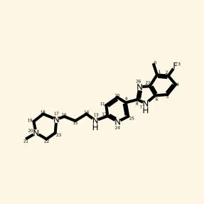 Cc1c(F)ccc2[nH]c(-c3ccc(NCCCN4CCN(C)CC4)nc3)nc12